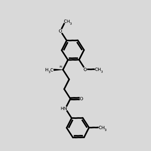 COc1ccc(OC)c([C@H](C)CCC(=O)Nc2cccc(C)c2)c1